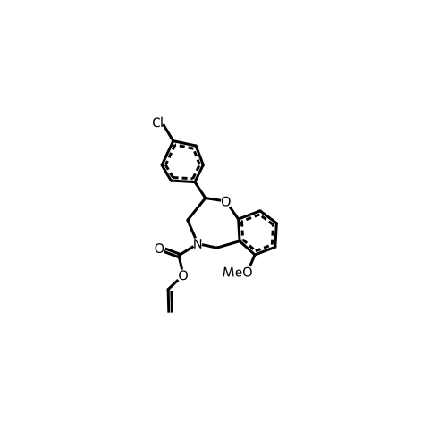 C=COC(=O)N1Cc2c(OC)cccc2OC(c2ccc(Cl)cc2)C1